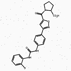 O=C(Nc1ccc(-c2cc(C(=O)N3CCCC3C(=O)O)on2)cc1)Nc1ccccc1F